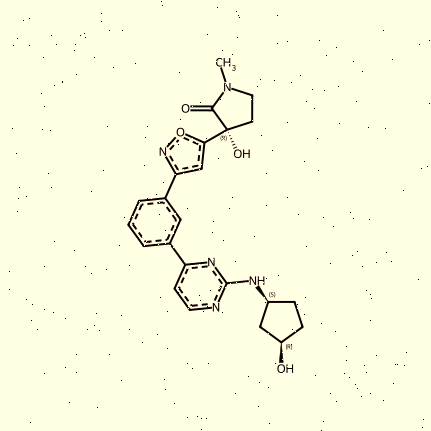 CN1CC[C@@](O)(c2cc(-c3cccc(-c4ccnc(N[C@H]5CC[C@@H](O)C5)n4)c3)no2)C1=O